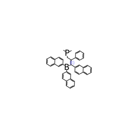 CP(C)C/C(=C(\B(c1ccc2ccccc2c1)c1ccc2ccccc2c1)c1ccc2ccccc2c1)c1ccccc1